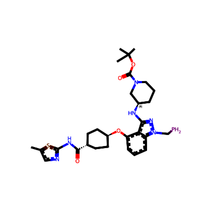 Cc1cnc(NC(=O)[C@H]2CC[C@H](Oc3cccc4c3c(N[C@@H]3CCCN(C(=O)OC(C)(C)C)C3)nn4CP)CC2)s1